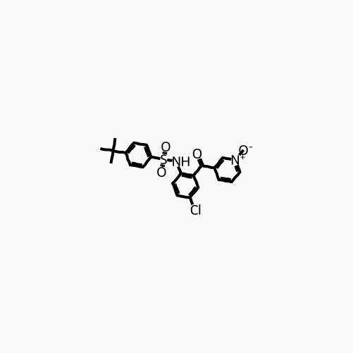 CC(C)(C)c1ccc(S(=O)(=O)Nc2ccc(Cl)cc2C(=O)c2ccc[n+]([O-])c2)cc1